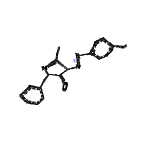 CC1=NC(c2ccccc2)C(=O)C1/N=N/c1ccc(C)cc1